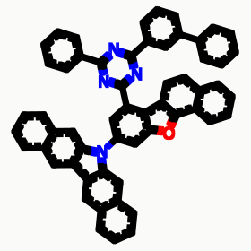 c1ccc(-c2cccc(-c3nc(-c4ccccc4)nc(-c4cc(-n5c6cc7ccccc7cc6c6cc7ccccc7cc65)cc5oc6c7ccccc7ccc6c45)n3)c2)cc1